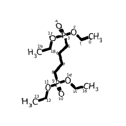 CCOP(=O)(CCCCP(=O)(OCC)OCC)OCC